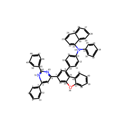 c1ccc(-c2cc(-c3cc(-c4ccc(N(c5ccccc5)c5cccc6ccccc56)cc4)c4c(c3)oc3ccccc34)nc(-c3ccccc3)n2)cc1